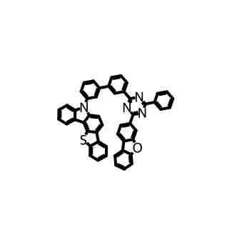 c1ccc(-c2nc(-c3cccc(-c4cccc(-n5c6ccccc6c6c7sc8ccccc8c7ccc65)c4)c3)nc(-c3ccc4c(c3)oc3ccccc34)n2)cc1